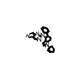 c1ccc(-n2ccc3c2ccc2c4ccccc4n(-c4ncc5cnccc5n4)c23)cc1